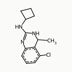 CC1NC(NC2CCC2)=Nc2cccc(Cl)c21